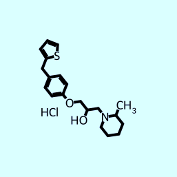 CC1CCCCN1CC(O)COc1ccc(Cc2cccs2)cc1.Cl